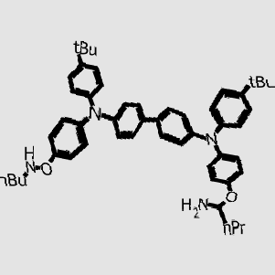 CCCCNOc1ccc(N(c2ccc(-c3ccc(N(c4ccc(OC(N)CCC)cc4)c4ccc(C(C)(C)C)cc4)cc3)cc2)c2ccc(C(C)(C)C)cc2)cc1